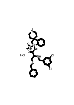 CS(=O)(=O)[N+]1(NC(=O)C(COCc2ccccc2)NCc2cc(Cl)cc(Cl)c2)CC2(CCNCC2)c2ccccc21.Cl